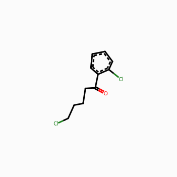 O=C(CCCCCl)c1ccccc1Cl